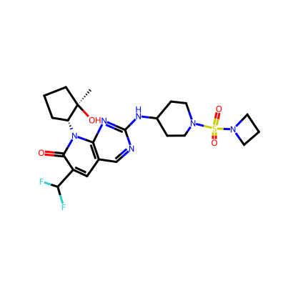 C[C@@]1(O)CCC[C@H]1n1c(=O)c(C(F)F)cc2cnc(NC3CCN(S(=O)(=O)N4CCC4)CC3)nc21